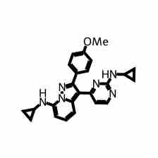 COc1ccc(-c2nn3c(NC4CC4)cccc3c2-c2ccnc(NC3CC3)n2)cc1